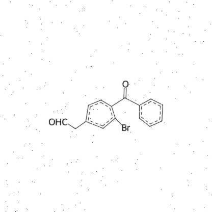 O=CCc1ccc(C(=O)c2ccccc2)c(Br)c1